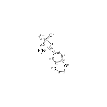 CS(=O)(=O)C[C@@H](N)c1ccc2c(c1)OCCO2